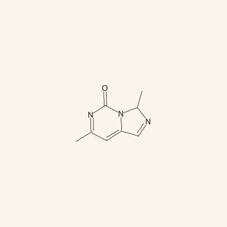 Cc1cc2n(c(=O)n1)C(C)N=C2